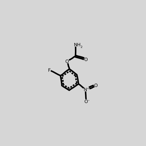 NC(=O)Oc1cc([N+](=O)[O-])ccc1F